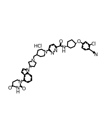 Cl.N#Cc1ccc(O[C@H]2CC[C@H](NC(=O)c3ccc(N4CCC(CN5CC[C@H](n6ccc7c(N8CCC(=O)NC8=O)cccc76)C5)CC4)nn3)CC2)cc1Cl